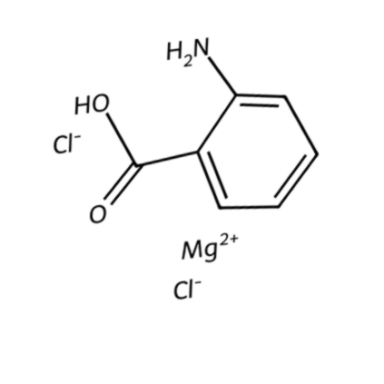 Nc1ccccc1C(=O)O.[Cl-].[Cl-].[Mg+2]